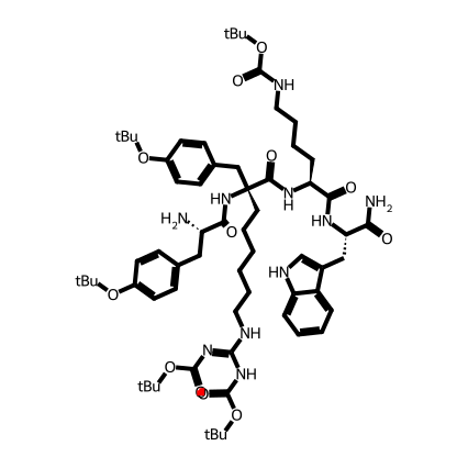 CC(C)(C)OC(=O)N=C(NCCCCCC[C@](Cc1ccc(OC(C)(C)C)cc1)(NC(=O)[C@@H](N)Cc1ccc(OC(C)(C)C)cc1)C(=O)N[C@@H](CCCCNC(=O)OC(C)(C)C)C(=O)N[C@@H](Cc1c[nH]c2ccccc12)C(N)=O)NC(=O)OC(C)(C)C